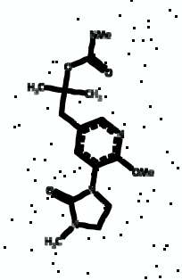 CNC(=O)OC(C)(C)Cc1cnc(OC)c(N2CCN(C)C2=O)c1